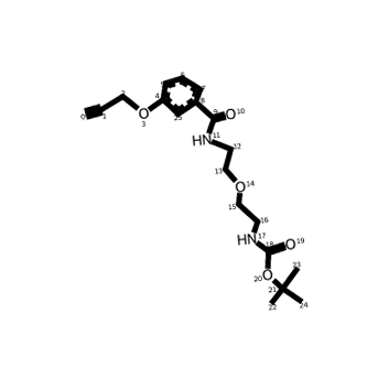 C#CCOc1cccc(C(=O)NCCOCCNC(=O)OC(C)(C)C)c1